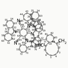 C=c1ccccccc(=C)c2c(-c3cccc4c3c3ccc5c6ccccc6sc5c3n4-c3c(-n4c5ccccc5c5ccccc54)c(C#N)c(-n4c5ccccc5c5ccccc54)c(C#N)c3-n3c4ccccc4c4ccccc43)cccc12